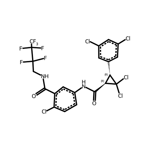 O=C(NCC(F)(F)C(F)(F)C(F)(F)F)c1cc(NC(=O)[C@H]2[C@H](c3cc(Cl)cc(Cl)c3)C2(Cl)Cl)ccc1Cl